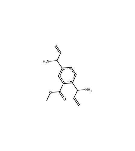 C=CC(N)c1ccc(C(N)C=C)c(C(=O)OC)c1